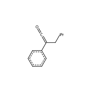 CC(C)CC(=C=O)c1ccccc1